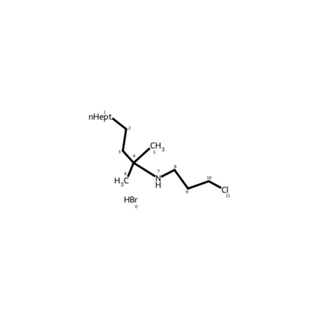 Br.CCCCCCCCCC(C)(C)NCCCCl